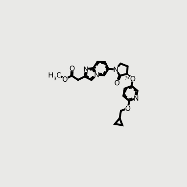 COC(=O)Cc1cn2cc(N3CC[C@@H](Oc4ccc(OCC5CC5)nc4)C3=O)ccc2n1